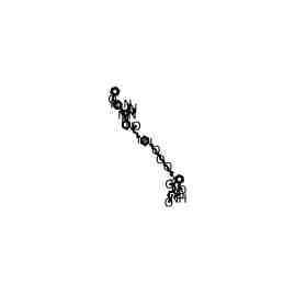 Nc1ncnc2c1c(-c1ccc(Oc3ccccc3)cc1)nn2[C@@H]1CCCN(C(=O)CCCN2CCN(CCOCCOCCOCCSc3cccc4c3C(=O)N(C3CCC(=O)NC3=O)C4=O)CC2)C1